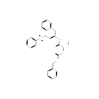 CC(C)C[C@H](NC(=O)OCc1ccccc1)C(=O)NC(=CCS(=O)(=O)c1ccccc1)Cc1ccccc1